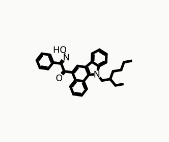 CCCCC(CC)Cn1c2ccccc2c2cc(C(=O)C(=NO)c3ccccc3)c3ccccc3c21